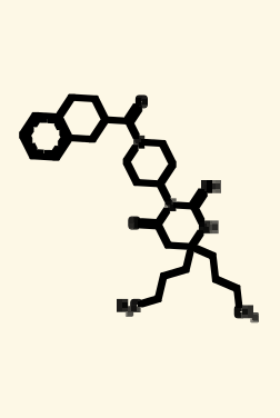 CCCCC1(CCCC)CC(=O)N(C2CCN(C(=O)C3CCc4ccccc4C3)CC2)C(=N)N1